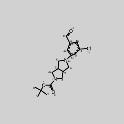 CC(C)(C)OC(=O)N1CC2CN(c3cc(Cl)cc(C=O)c3)CC2C1